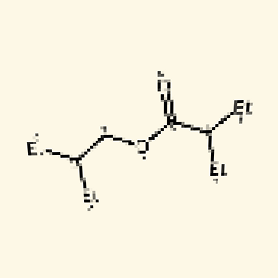 CCC(CC)COC(=O)C(CC)CC